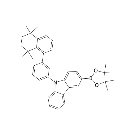 CC1(C)CCC(C)(C)c2c(-c3cccc(-n4c5ccccc5c5cc(B6OC(C)(C)C(C)(C)O6)ccc54)c3)cccc21